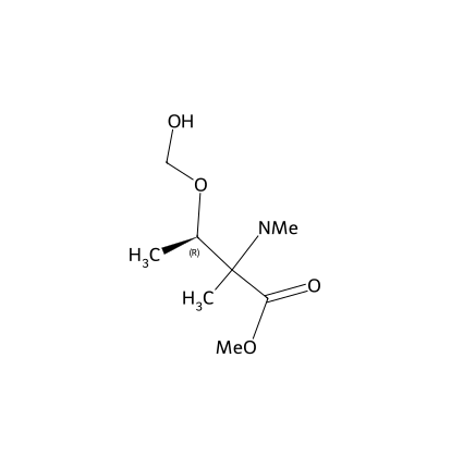 CNC(C)(C(=O)OC)[C@@H](C)OCO